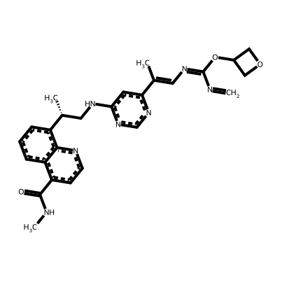 C=N/C(=N\C=C(/C)c1cc(NC[C@@H](C)c2cccc3c(C(=O)NC)ccnc23)ncn1)OC1COC1